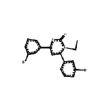 CCn1c(-c2cccc(Br)c2)cc(-c2cccc(Br)c2)nc1=O